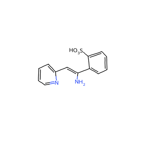 NC(=Cc1ccccn1)c1ccccc1S(=O)(=O)O